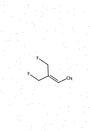 N#CC=C(CF)CF